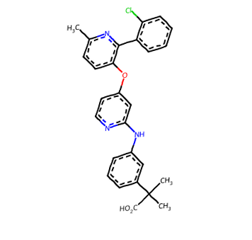 Cc1ccc(Oc2ccnc(Nc3cccc(C(C)(C)C(=O)O)c3)c2)c(-c2ccccc2Cl)n1